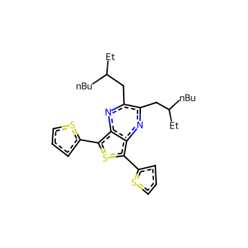 CCCCC(CC)Cc1nc2c(-c3cccs3)sc(-c3cccs3)c2nc1CC(CC)CCCC